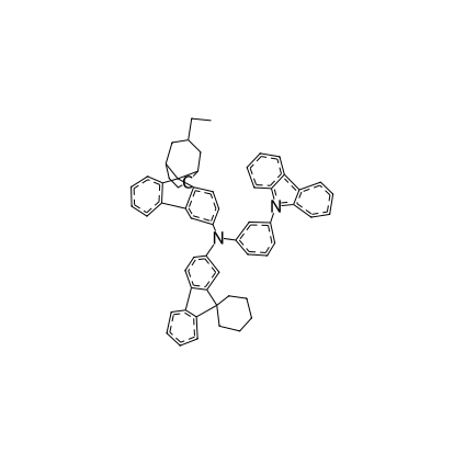 CCC1CC2CCCC(C1)C21c2ccccc2-c2cc(N(c3cccc(-n4c5ccccc5c5ccccc54)c3)c3ccc4c(c3)C3(CCCCC3)c3ccccc3-4)ccc21